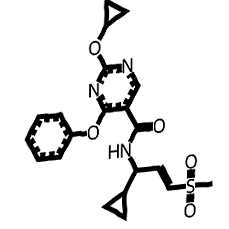 CS(=O)(=O)/C=C/C(NC(=O)c1cnc(OC2CC2)nc1Oc1ccccc1)C1CC1